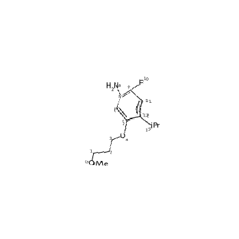 COCCCOc1cc(N)c(F)cc1C(C)C